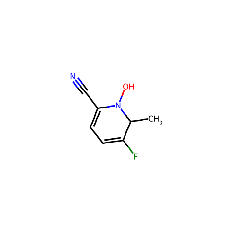 CC1C(F)=CC=C(C#N)N1O